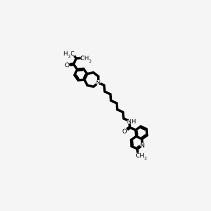 Cc1ccc2c(C(=O)NCCCCCCCCN3CCc4ccc(C(=O)C(C)C)cc4CC3)cccc2n1